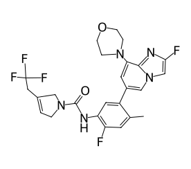 Cc1cc(F)c(NC(=O)N2CC=C(CC(F)(F)F)C2)cc1-c1cc(N2CCOCC2)c2nc(F)cn2c1